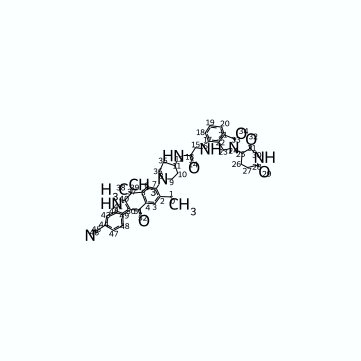 CCc1cc2c(cc1N1CCC(NC(=O)CNc3cccc4c3CN(C3CCC(=O)NC3=O)C4=O)CC1)C(C)(C)c1[nH]c3cc(C#N)ccc3c1C2=O